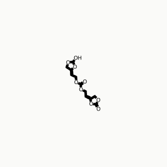 O=C(OCC=C1COC(=O)O1)OC/C=C1/COC(O)O1